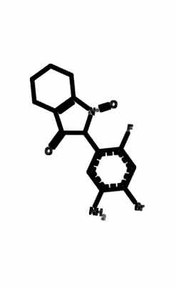 Nc1cc(C2C(=O)C3=C(CCCC3)[N+]2=O)c(F)cc1Br